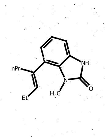 CCC=C(CCC)c1cccc2[nH]c(=O)n(C)c12